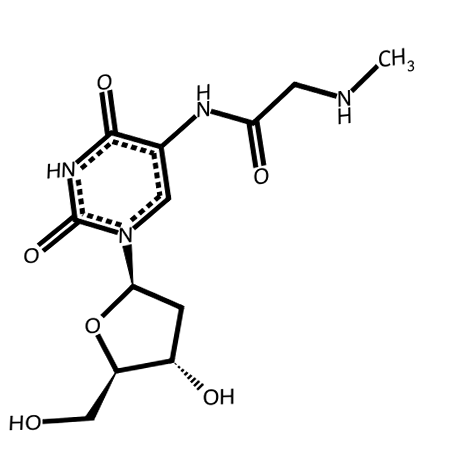 CNCC(=O)Nc1cn([C@H]2C[C@H](O)[C@@H](CO)O2)c(=O)[nH]c1=O